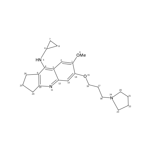 COc1cc2c(NC3CC3)c3c(nc2cc1OCCCN1CCCC1)CCC3